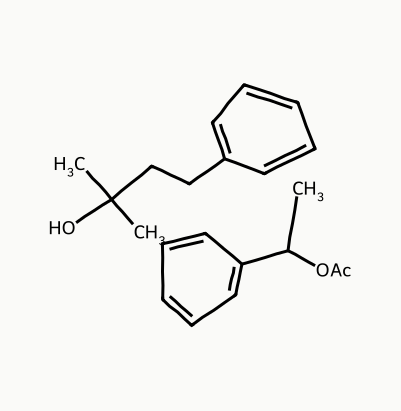 CC(=O)OC(C)c1ccccc1.CC(C)(O)CCc1ccccc1